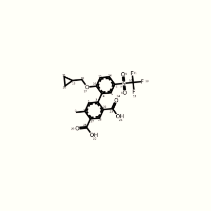 Cc1cc(-c2cc(S(=O)(=O)C(F)(F)F)ccc2OCC2CC2)c(C(=O)O)cc1C(=O)O